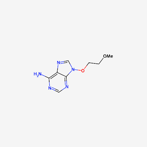 COCCOn1cnc2c(N)ncnc21